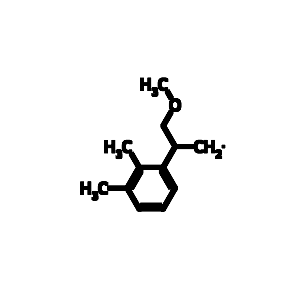 [CH2]C(COC)c1cccc(C)c1C